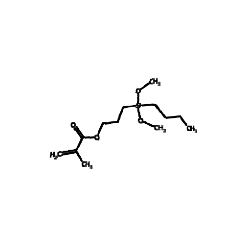 C=C(C)C(=O)OCCC[Si](CCCC)(OC)OC